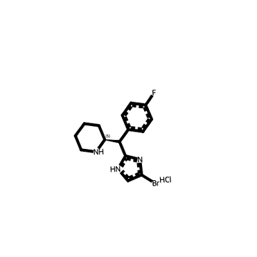 Cl.Fc1ccc(C(c2nc(Br)c[nH]2)[C@@H]2CCCCN2)cc1